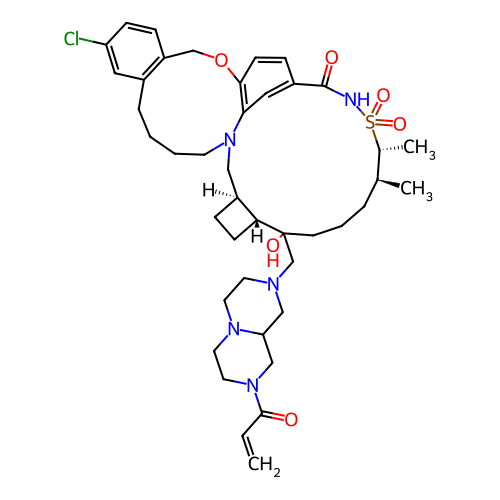 C=CC(=O)N1CCN2CCN(CC3(O)CCC[C@H](C)[C@@H](C)S(=O)(=O)NC(=O)c4ccc5c(c4)N(CCCCc4cc(Cl)ccc4CO5)C[C@@H]4CC[C@H]43)CC2C1